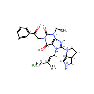 CCn1c(=O)n(CC(=O)c2ccccc2)c(=O)c2c1nc(N1CCC3CNC=C31)n2CC=C(C)C.Cl